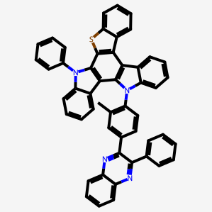 Cc1cc(-c2nc3ccccc3nc2-c2ccccc2)ccc1-n1c2ccccc2c2c3c4ccccc4sc3c3c(c4ccccc4n3-c3ccccc3)c21